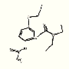 CCN(CC)C(O)=S.CCOc1ccccc1.NC(O)=S